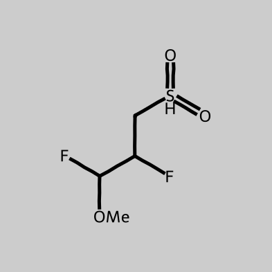 COC(F)C(F)C[SH](=O)=O